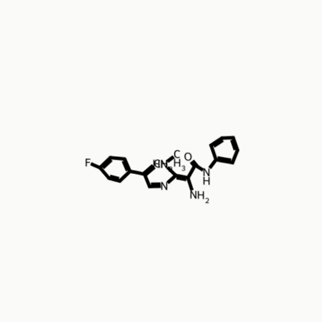 C=C(/C=N\C(NC)=C(/N)C(=O)Nc1ccccc1)c1ccc(F)cc1